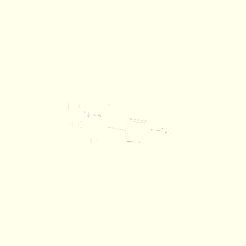 CN(C)C(=O)C(O)c1ccc([N+](=O)[O-])cc1